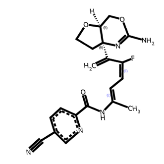 C=C(/C(F)=C\C=C(/C)NC(=O)c1ccc(C#N)cn1)[C@]12CCO[C@H]1COC(N)=N2